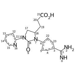 N=C(N)c1ccc(N2C(=O)N(c3ccccn3)CC2CCC(=O)O)cc1